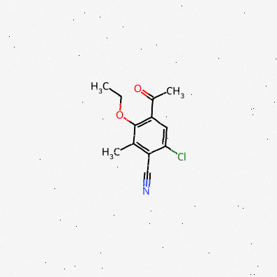 CCOc1c(C(C)=O)cc(Cl)c(C#N)c1C